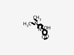 CCCN(CCC)c1ccc(C2(O)CCC3(CC2)OCCO3)nc1